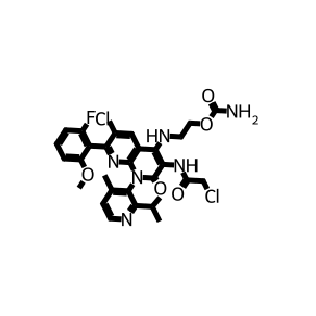 COc1cccc(F)c1-c1nc2c(cc1Cl)c(NCCOC(N)=O)c(NC(=O)CCl)c(=O)n2-c1c(C)ccnc1C(C)C